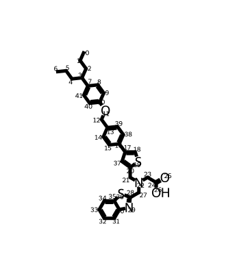 CCCC(CCC)c1ccc(OCc2ccc(-c3csc(CN(CC(=O)O)Cc4nc5ccccc5s4)c3)cc2)cc1